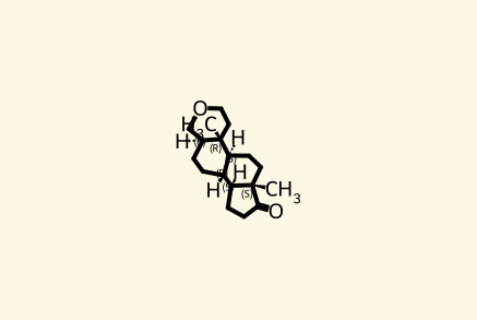 C[C@]12CCOC[C@@H]1CC[C@@H]1[C@@H]2CC[C@]2(C)C(=O)CC[C@@H]12